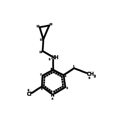 CCc1cnc(Cl)cc1NCC1CC1